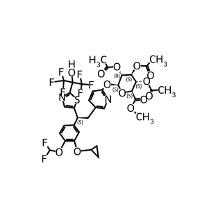 COC(=O)[C@H]1O[C@@H](Oc2ccc(C[C@@H](c3ccc(OC(F)F)c(OC4CC4)c3)c3cnc(C(O)(C(F)(F)F)C(F)(F)F)s3)cn2)[C@H](OC(C)=O)[C@@H](OC(C)=O)[C@@H]1OC(C)=O